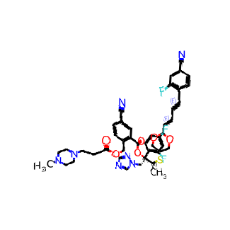 C[C@@H](S[C@H]1CO[C@H](/C=C/C=C/c2ccc(C#N)cc2F)OC1)[C@@](Cn1cncn1)(OC(=O)c1cc(C#N)ccc1COC(=O)CCN1CCN(C)CC1)c1ccc(F)cc1F